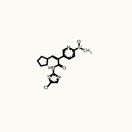 C[S+]([O-])c1ccc(C(=CC2CCCC2)C(=O)Nc2ncc(Cl)s2)cn1